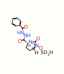 O=C(NNC(=O)[C@@H]1CC[C@@H]2CN1C(=O)N2OS(=O)(=O)O)c1cc[c]cc1